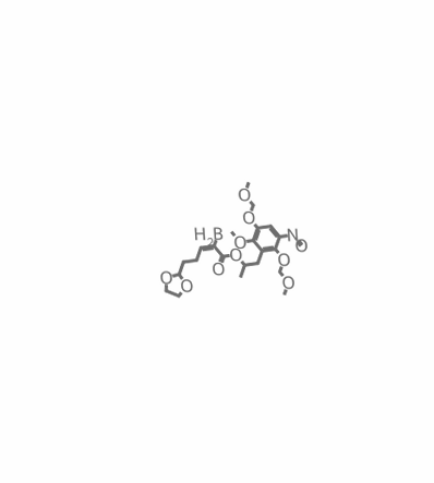 B/C(=C/CCC1OCCO1)C(=O)OC(C)Cc1c(OCOC)c(N=O)cc(OCOC)c1OC